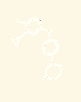 Fc1cnc(Nc2ccc(C3CNCCO3)cc2)nc1C1CC1